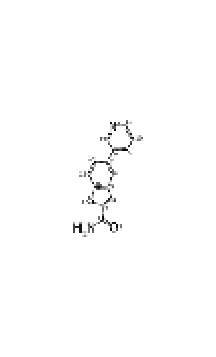 NC(=O)c1cc2cc(-c3cccnc3)ccc2s1